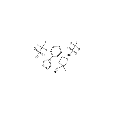 C[N+]1(C#N)CCCC1.O=S(=O)(O)C(F)(F)F.O=S(=O)([O-])C(F)(F)F.c1ccc(-n2ccnc2)cc1